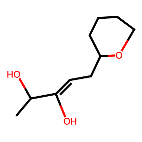 CC(O)/C(O)=C/CC1CCCCO1